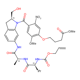 C=CCOC(=O)N[C@H](C(=O)N[C@@H](C)C(=O)Nc1ccc2c(c1)N(C(=O)c1cc(OC)c(OCCCC(=O)OC)cc1[N+](=O)[O-])[C@H](CO)C2)C(C)C